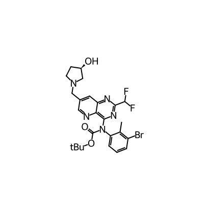 Cc1c(Br)cccc1N(C(=O)OC(C)(C)C)c1nc(C(F)F)nc2cc(CN3CC[C@@H](O)C3)cnc12